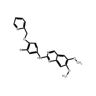 COc1cc2cnc(Nc3ccc(OCc4ccccn4)c(F)c3)nc2cc1OC